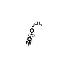 CCCC[C@H]1CC[C@H](C(=O)Oc2ccc(C(F)(F)F)cc2)CC1